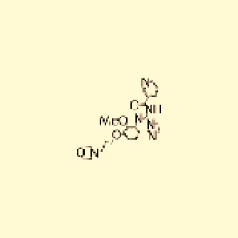 COc1c(OCCCN2CCOCC2)ccc2c1N=C(NC(=O)c1cccnc1)N1CCN=C21